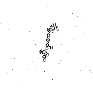 CCC(C)n1ncn(-c2ccc(N3CCN(c4ccc(OC[C@@H]5CO[C@@](Cn6nccn6)(c6ccc(Cl)cc6Cl)O5)c(C#N)c4)CC3)cc2)c1=O